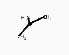 CCCCCCCCCCCCCCCCCCn1cc[n+](CCCCCCCCCCCCCCCCCC)c1CCCCCCC